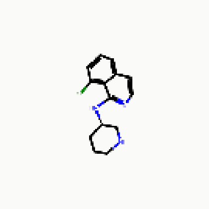 Clc1cccc2ccnc(N[C@@H]3CCCNC3)c12